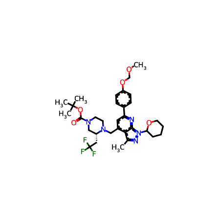 COCOc1ccc(-c2cc(CN3CCN(C(=O)OC(C)(C)C)C[C@H]3CC(F)(F)F)c3c(C)nn(C4CCCCO4)c3n2)cc1